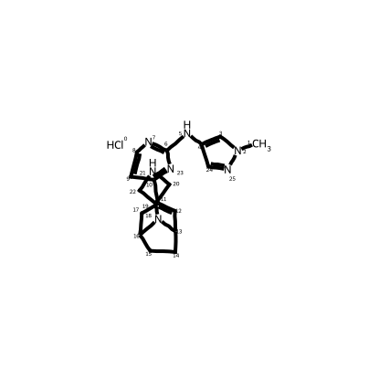 Cl.Cn1cc(Nc2nccc(C3=CC4CCC(C3)N4C3CNC3)n2)cn1